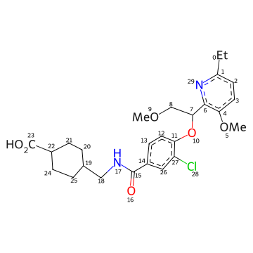 CCc1ccc(OC)c(C(COC)Oc2ccc(C(=O)NCC3CCC(C(=O)O)CC3)cc2Cl)n1